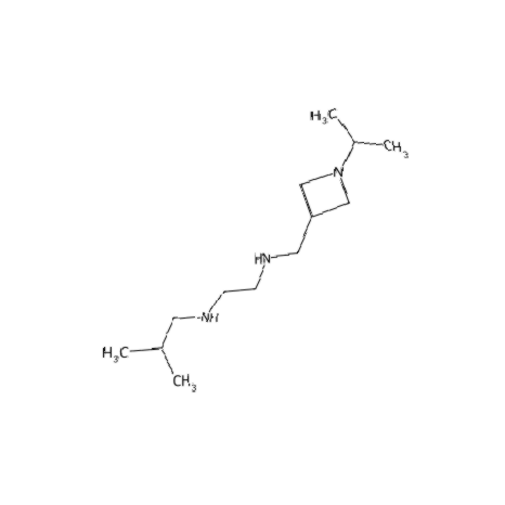 CC(C)CNCCNCC1CN(C(C)C)C1